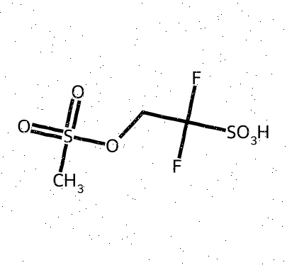 CS(=O)(=O)OCC(F)(F)S(=O)(=O)O